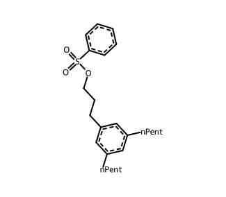 CCCCCc1cc(CCCCC)cc(CCCOS(=O)(=O)c2ccccc2)c1